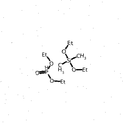 CCO[PH](=O)OCC.CCO[Si](C)(C)OCC